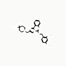 COc1ccc(CNc2nc3ccccc3c3nc(CN4CCC(C)(O)CC4)cn23)c(OC)c1